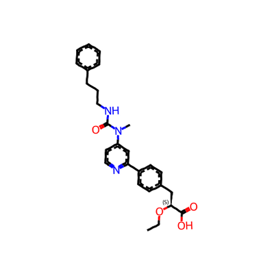 CCO[C@@H](Cc1ccc(-c2cc(N(C)C(=O)NCCCc3ccccc3)ccn2)cc1)C(=O)O